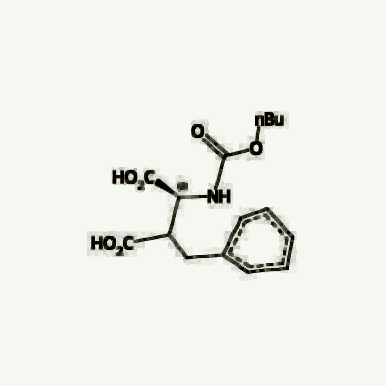 CCCCOC(=O)N[C@H](C(=O)O)C(Cc1ccccc1)C(=O)O